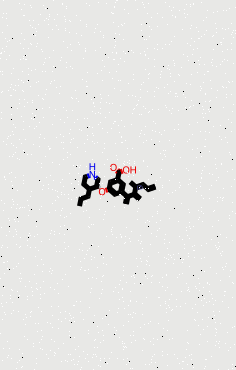 C=C/C=C(/C)C(=C)C(=C)c1cc(O[C@H]2CNCCC2CCC)cc(C(=O)O)c1